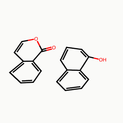 O=c1occc2ccccc12.Oc1cccc2ccccc12